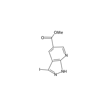 COC(=O)c1cnc2[nH]nc(I)c2c1